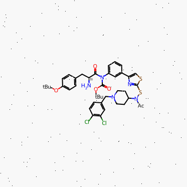 CC(=O)N(Sc1nc(-c2cccc(N(C(=O)OC(C)(C)C)C(=O)[C@@H](N)Cc3ccc(OC(C)(C)C)cc3)c2)cs1)C1CCN(Cc2ccc(Cl)c(Cl)c2)CC1